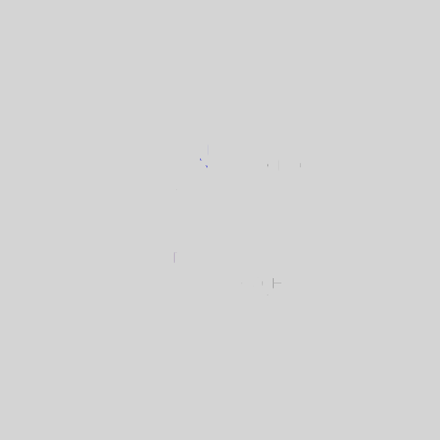 O=Cc1[nH]c(I)c(I)c1CC(=O)O